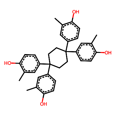 Cc1cc(C2(c3ccc(O)c(C)c3)CCC(c3ccc(O)c(C)c3)(c3ccc(O)c(C)c3)CC2)ccc1O